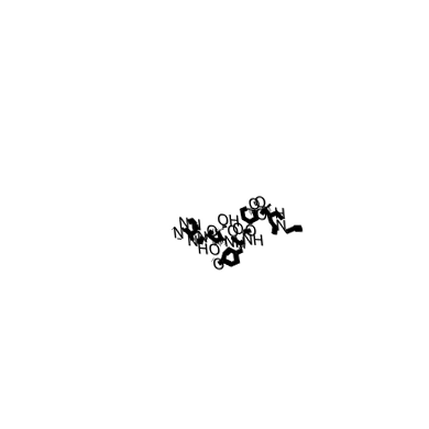 C#CCNC(=C)CC(CC)[C@@]1(C)OO[C@@]2(CCCC(OC(=O)N[C@@H](Cc3ccc(OC)cc3)C(=O)N[C@H]3[C@@H](O)[C@H](n4cnc5c(N(C)C)ncnc54)O[C@@H]3CO)C2)O1